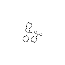 O=C1OC(n2c(-c3ccccc3)cc3ccccc32)c2ccccc21